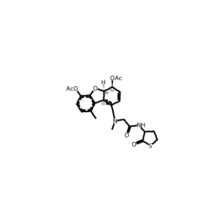 CC(=O)Oc1ccc(C)c2c1O[C@H]1[C@@H](OC(C)=O)C=CC3C(N(C)CC(=O)NC4CCSC4=O)=CC[C@@]231